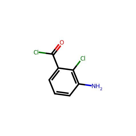 Nc1cccc(C(=O)Cl)c1Cl